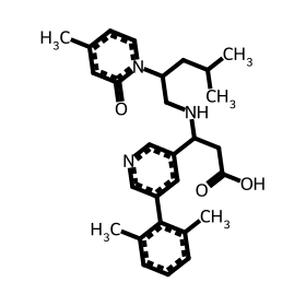 Cc1ccn(C(CNC(CC(=O)O)c2cncc(-c3c(C)cccc3C)c2)CC(C)C)c(=O)c1